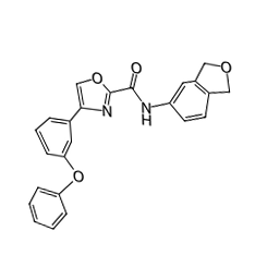 O=C(Nc1ccc2c(c1)COC2)c1nc(-c2cccc(Oc3ccccc3)c2)co1